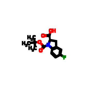 CC(C)(C)OC(=O)N1c2ccc(F)cc2C[C@@H]1C(=O)O